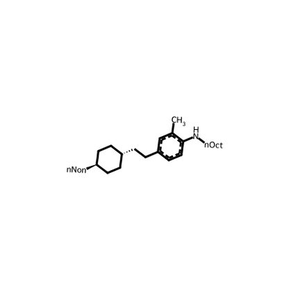 CCCCCCCCC[C@H]1CC[C@H](CCc2ccc(NCCCCCCCC)c(C)c2)CC1